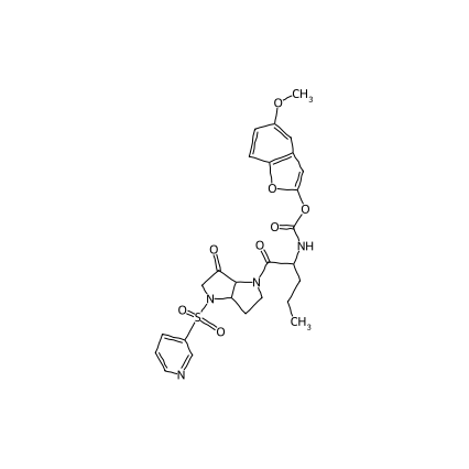 CCCC(NC(=O)Oc1cc2cc(OC)ccc2o1)C(=O)N1CCC2C1C(=O)CN2S(=O)(=O)c1cccnc1